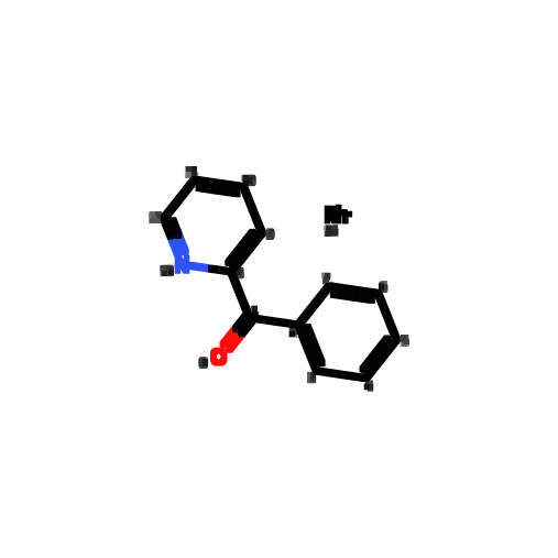 O=C(c1ccccc1)c1ccccn1.[Rh]